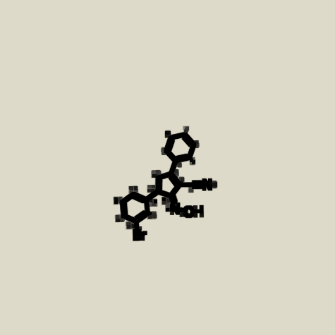 N#CC1=C(c2ccccc2)C=C(c2cccc(Br)c2)/C1=N/O